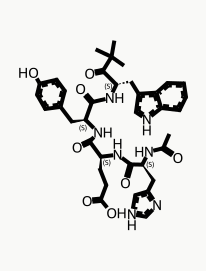 CC(=O)N[C@@H](Cc1c[nH]cn1)C(=O)N[C@@H](CCC(=O)O)C(=O)N[C@@H](Cc1ccc(O)cc1)C(=O)N[C@@H](Cc1c[nH]c2ccccc12)C(=O)C(C)(C)C